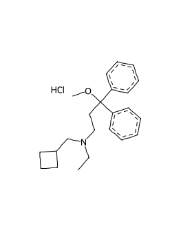 CCN(CCC(OC)(c1ccccc1)c1ccccc1)CC1CCC1.Cl